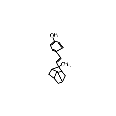 CC1(C=Cc2ccc(O)cc2)C2CC3CC(C2)CC1C3